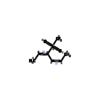 C/C=C\C(=C/C)S(=O)(=O)C(F)(F)F